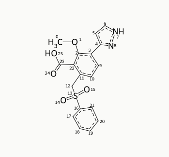 COc1c(-c2cc[nH]n2)ccc(CS(=O)(=O)c2ccccc2)c1C(=O)O